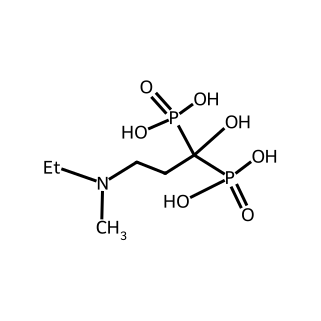 CCN(C)CCC(O)(P(=O)(O)O)P(=O)(O)O